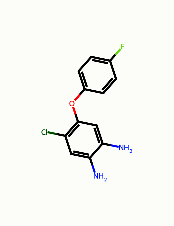 Nc1cc(Cl)c(Oc2ccc(F)cc2)cc1N